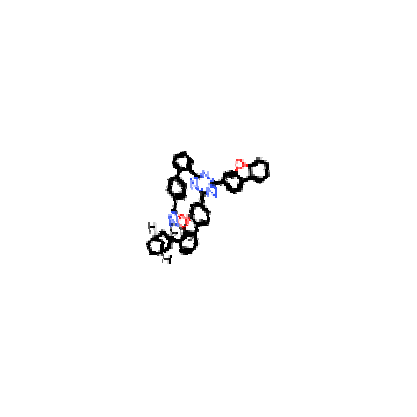 CC1(c2cccc3c2oc2cc(-c4nc(-c5ccc6c(c5)oc5ccccc56)nc(-c5ccccc5-c5ccc(C#N)cc5)n4)ccc23)C[C@@H]2CC[C@@H](C2)C1